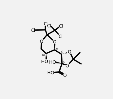 CC1(C)O[C@@H]([C@@H]2OC(C(Cl)Cl)(C(Cl)(Cl)Cl)OC[C@@H]2O)[C@@](O)(C(=O)O)O1